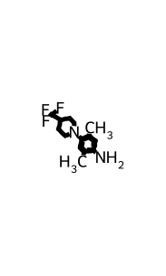 Cc1cc(N2CCC(C(F)(F)F)CC2)c(C)cc1N